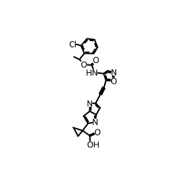 CC(OC(=O)Nc1cnoc1C#CC1=CC2=NC(C3(C(=O)O)CC3)=CC2=N1)c1ccccc1Cl